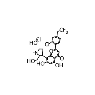 CN1CCC(c2c(O)cc(O)c3c(=O)cc(-c4ccc(CC(F)(F)F)cc4Cl)oc23)C1CO.OCl